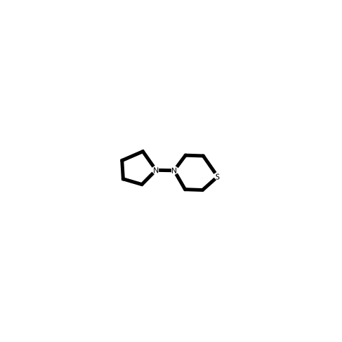 C1CCN(N2CCSCC2)C1